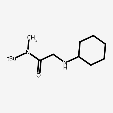 CN(C(=O)CNC1CCCCC1)C(C)(C)C